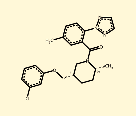 Cc1ccc(-n2nccn2)c(C(=O)N2C[C@@H](COc3cccc(Cl)c3)CC[C@H]2C)c1